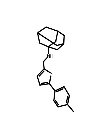 Cc1ccc(-c2ccc(CNC34CC5CC(CC(C5)C3)C4)s2)cc1